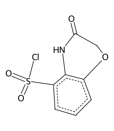 O=C1COc2cccc(S(=O)(=O)Cl)c2N1